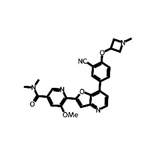 COc1cc(C(=O)N(C)C)cnc1-c1cc2nccc(-c3ccc(OC4CN(C)C4)c(C#N)c3)c2o1